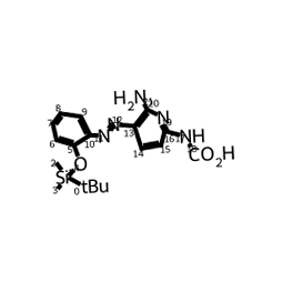 CC(C)(C)[Si](C)(C)Oc1ccccc1N=Nc1ccc(NC(=O)O)nc1N